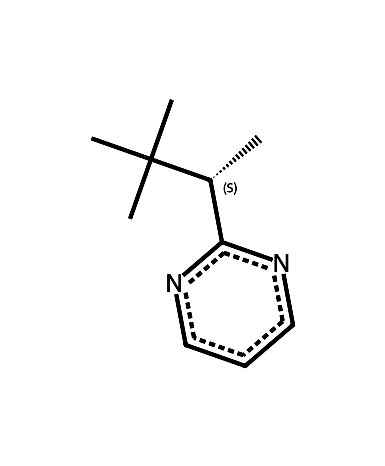 C[C@H](c1ncccn1)C(C)(C)C